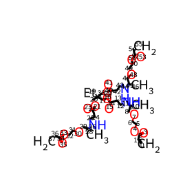 C=CC(=O)OCCOCC(C)NCCC(=O)OCC(CC)(COC(=O)CCNC(C)COCCOC(=O)C=C)COC(=O)CCNC(C)COCCOC(=O)C=C